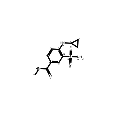 CNC(=O)c1ccc(NC2CC2)c(S(N)(=O)=O)c1